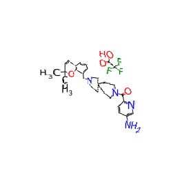 CC1(C)C=Cc2cccc(CN3CCC4(CC3)CCN(C(=O)c3ccc(N)cn3)CC4)c2O1.O=C(O)C(F)(F)F